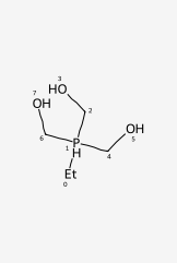 CC[PH](CO)(CO)CO